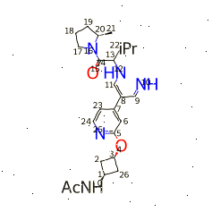 CC(=O)N[C@H]1C[C@@H](Oc2cc(/C(C=N)=C/NC(C(=O)N3CCC[C@H]3C)C(C)C)ccn2)C1